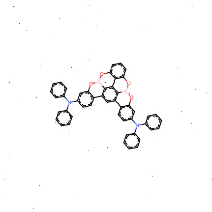 c1ccc(N(c2ccccc2)c2ccc3c(c2)OB2Oc4cccc5c4-c4c2c-3cc2c4B(Oc3cc(N(c4ccccc4)c4ccccc4)ccc3-2)O5)cc1